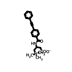 C[N+](C)(C)CC(CC(=O)[O-])NC(=O)c1ccc(C#Cc2ccccc2)cc1